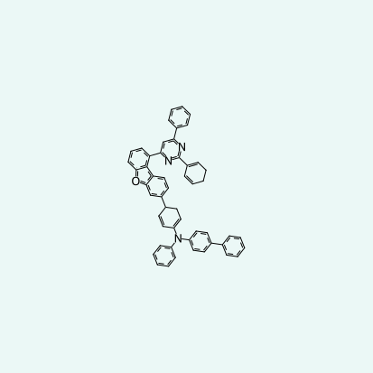 C1=CC(c2nc(-c3ccccc3)cc(-c3cccc4oc5cc(C6C=CC(N(c7ccccc7)c7ccc(-c8ccccc8)cc7)=CC6)ccc5c34)n2)=CCC1